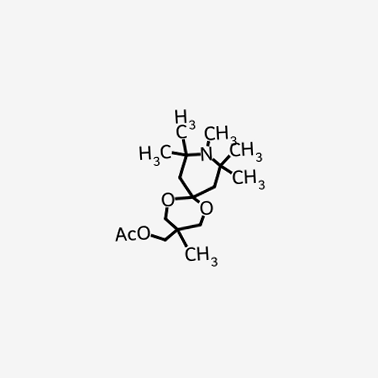 CC(=O)OCC1(C)COC2(CC(C)(C)N(C)C(C)(C)C2)OC1